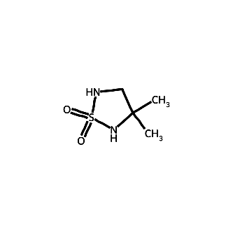 CC1(C)CNS(=O)(=O)N1